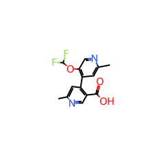 Cc1cc(-c2cc(C)ncc2C(=O)O)c(OC(F)F)cn1